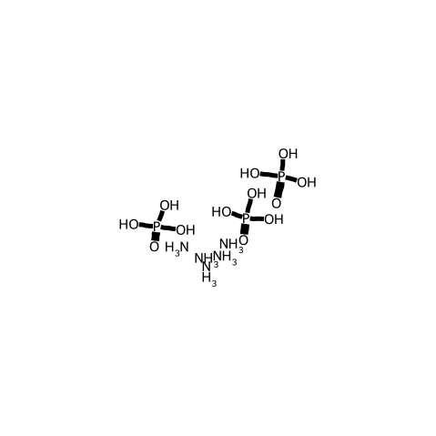 N.N.N.N.N.O=P(O)(O)O.O=P(O)(O)O.O=P(O)(O)O